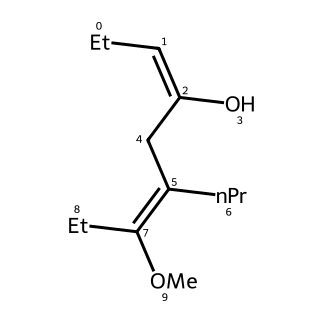 CC/C=C(/O)C/C(CCC)=C(\CC)OC